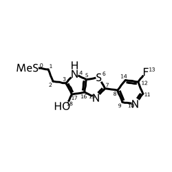 CSCCc1[nH]c2sc(-c3cncc(F)c3)nc2c1O